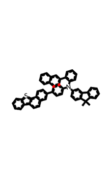 CC1(C)c2ccccc2-c2cc(N(c3ccc(-c4ccc5c(ccc6c7ccccc7sc56)c4)cc3)c3ccccc3-c3ccc4ccccc4c3)ccc21